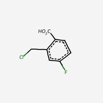 O=C(O)c1ccc(F)cc1CCl